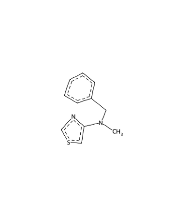 CN(Cc1ccccc1)c1cscn1